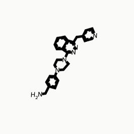 NCc1ccc(N2CCN(c3nnc(Cc4ccncc4)c4ccccc34)CC2)cc1